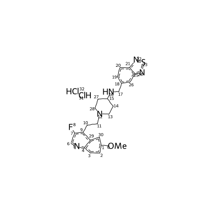 COc1ccc2ncc(F)c(CCN3CCC(NCc4ccc5nsnc5c4)CC3)c2c1.Cl.Cl